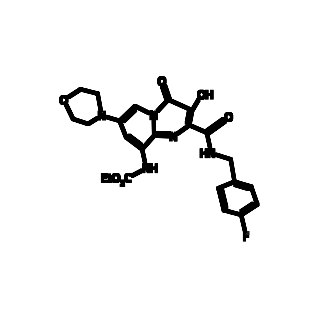 CCOC(=O)Nc1cc(N2CCOCC2)cn2c(=O)c(O)c(C(=O)NCc3ccc(F)cc3)nc12